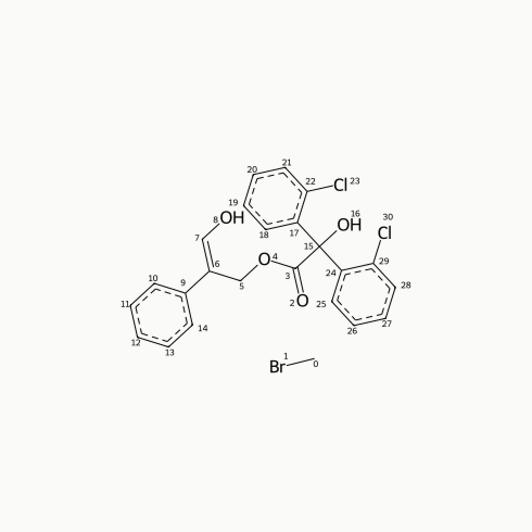 CBr.O=C(OCC(=CO)c1ccccc1)C(O)(c1ccccc1Cl)c1ccccc1Cl